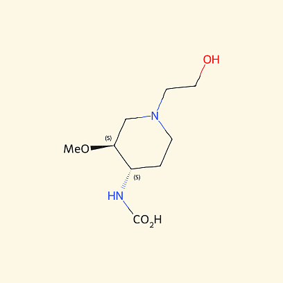 CO[C@H]1CN(CCO)CC[C@@H]1NC(=O)O